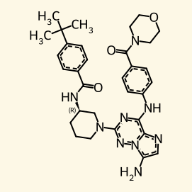 CC(C)(C)c1ccc(C(=O)N[C@@H]2CCCN(c3nc(Nc4ccc(C(=O)N5CCOCC5)cc4)c4ncc(N)n4n3)C2)cc1